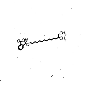 CCC(C)CCCCCCCCCCCCOC(=O)c1ccccc1C(=O)O